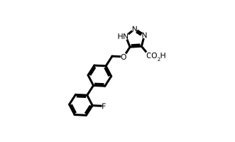 O=C(O)c1nn[nH]c1OCc1ccc(-c2ccccc2F)cc1